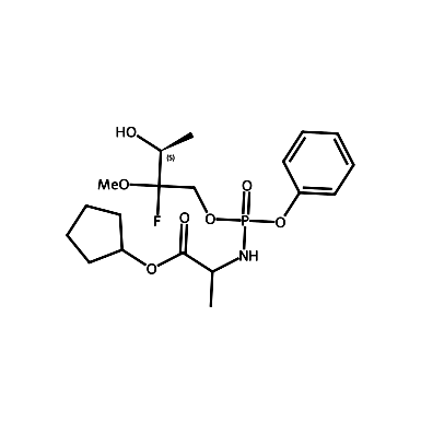 COC(F)(COP(=O)(NC(C)C(=O)OC1CCCC1)Oc1ccccc1)[C@H](C)O